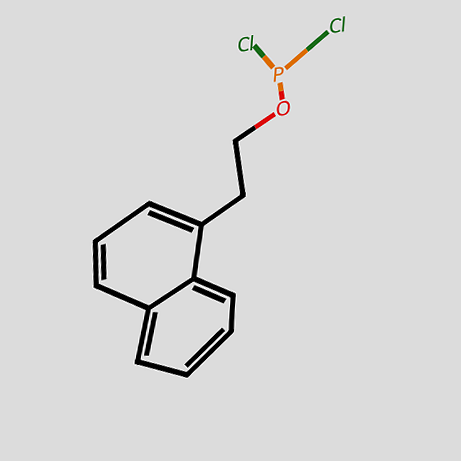 ClP(Cl)OCCc1cccc2ccccc12